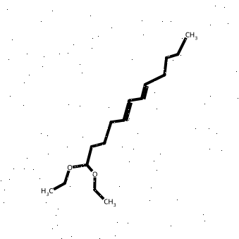 CCCCC=CC=CCCCC(OCC)OCC